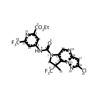 CCOC(=O)c1cc(NC(=O)N2C[C@@](C)(C(F)(F)F)c3c2cnc2cc(Cl)nn32)cc(C(F)(F)F)n1